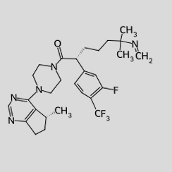 C=NC(C)(C)CCC[C@@H](C(=O)N1CCN(c2ncnc3c2[C@H](C)CC3)CC1)c1ccc(C(F)(F)F)c(F)c1